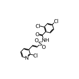 O=C(NS(=O)(=O)/C=C/c1cccnc1Cl)c1ccc(Cl)cc1Cl